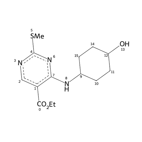 CCOC(=O)c1cnc(SC)nc1NC1CCC(O)CC1